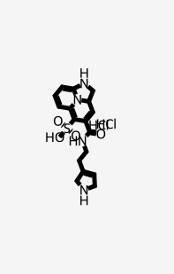 Cl.Cl.O=C(NCCC1=CCNC1)C1=CC2CNC3=CC=CC(=C1S(=O)(=O)O)N32